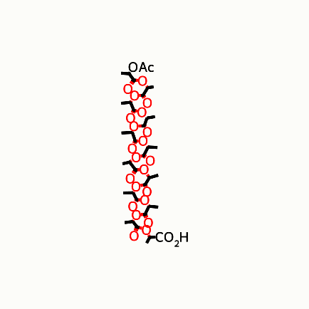 CC(=O)OC(C)C(=O)OC(C)C(=O)OC(C)C(=O)OC(C)C(=O)OC(C)C(=O)OC(C)C(=O)OC(C)C(=O)OC(C)C(=O)OC(C)C(=O)OC(C)C(=O)OC(C)C(=O)OC(C)C(=O)O